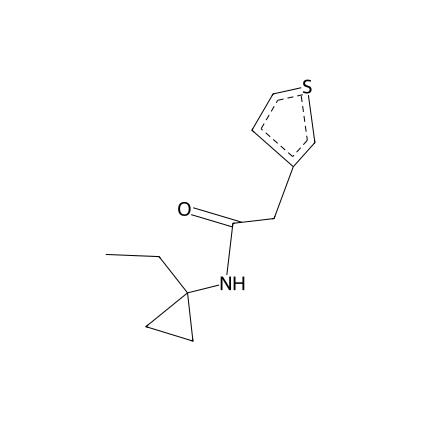 CCC1(NC(=O)Cc2ccsc2)CC1